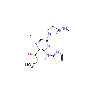 N[C@H]1CCN(c2cnc3c(=O)c(C(=O)O)cn(-c4nccs4)c3n2)C1